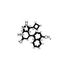 Cc1ccc(C2CC(=O)Nc3n[nH]c(C4CCC4)c32)c2ccccc12